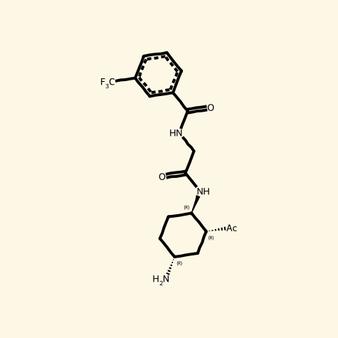 CC(=O)[C@@H]1C[C@H](N)CC[C@H]1NC(=O)CNC(=O)c1cccc(C(F)(F)F)c1